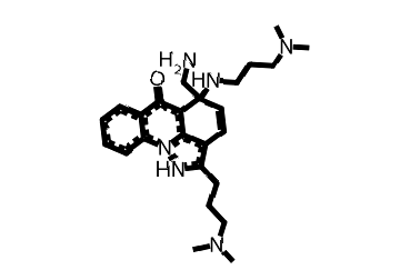 CN(C)CCCNC1(CN)C=Cc2c(CCCN(C)C)[nH]n3c2c1c(=O)c1ccccc13